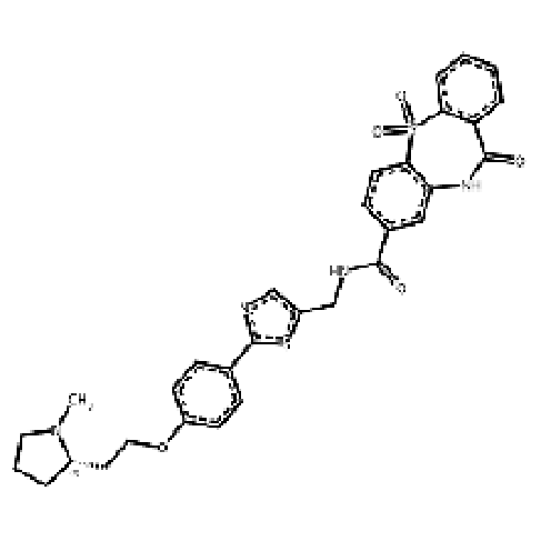 CN1CCC[C@H]1CCOc1ccc(-c2ncc(CNC(=O)c3ccc4c(c3)NC(=O)c3ccccc3S4(=O)=O)s2)cc1